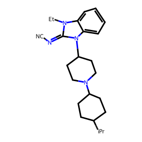 CCn1c(=NC#N)n(C2CCN(C3CCC(C(C)C)CC3)CC2)c2ccccc21